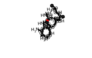 CC(C)C[C@@H]1CC(=O)[C@H](CCCCN)NC(=O)[C@H](CCCNC(=N)N)NC(=O)[C@@H](NC(=O)[C@@H]2CC(=O)CCCCC[C@H](CC(=O)[C@@H](NC(=O)[C@@H](CC(=O)CNC(=O)CNC(=O)[C@@H](N)Cc3ccccc3)Cc3ccccc3)C(C)O)C(=O)N[C@@H](C)C(=O)C[C@@H](CCCNC(=N)N)C(=O)N[C@@H](CCCCN)C(=O)N2)CCCCNC(=O)C[C@@H](C(N)=O)NC1=O